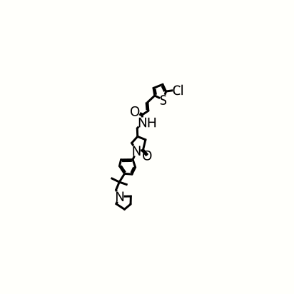 CC(C)(CN1CCCC1)c1ccc(N2CC(CNC(=O)C=Cc3ccc(Cl)s3)CC2=O)cc1